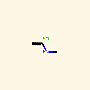 C=CNC.Cl